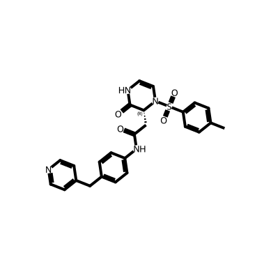 Cc1ccc(S(=O)(=O)N2C=CNC(=O)[C@H]2CC(=O)Nc2ccc(Cc3ccncc3)cc2)cc1